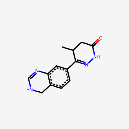 CC1CC(=O)NN=C1c1ccc2c(c1)N=CNC2